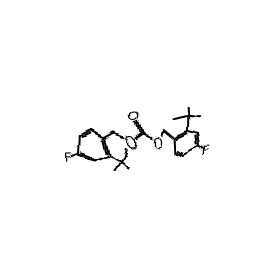 CC(C)(C)c1cc(F)ccc1COC(=O)OCc1ccc(F)cc1C(C)(C)C